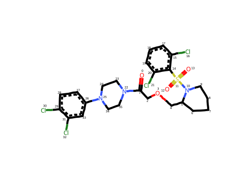 O=C(COCC1CCCCN1S(=O)(=O)c1c(Cl)cccc1Cl)N1CCN(c2ccc(Cl)c(Cl)c2)CC1